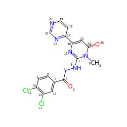 Cn1c(NCC(=O)c2ccc(Cl)c(Cl)c2)nc(-c2ccncn2)cc1=O